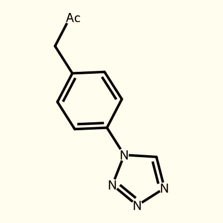 CC(=O)Cc1ccc(-n2cnnn2)cc1